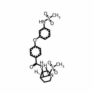 CS(=O)(=O)Nc1cccc(Oc2ccc(C(=O)N[C@@H]3C4CCN(CC4)[C@H]3S(C)(=O)=O)cc2)c1